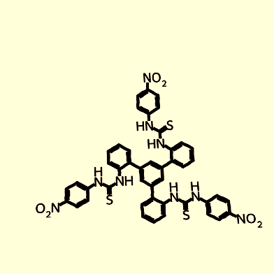 O=[N+]([O-])c1ccc(NC(=S)Nc2ccccc2-c2cc(-c3ccccc3NC(=S)Nc3ccc([N+](=O)[O-])cc3)cc(-c3ccccc3NC(=S)Nc3ccc([N+](=O)[O-])cc3)c2)cc1